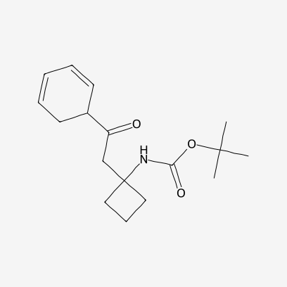 CC(C)(C)OC(=O)NC1(CC(=O)C2C=CC=CC2)CCC1